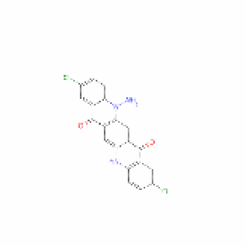 Nn1c2ccc(Cl)cc2c(=O)c2cc3[nH]c4ccc(Cl)cc4c(=O)c3cc21